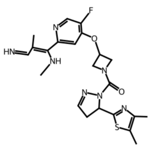 CN/C(=C(/C)C=N)c1cc(OC2CN(C(=O)N3N=CCC3c3nc(C)c(C)s3)C2)c(F)cn1